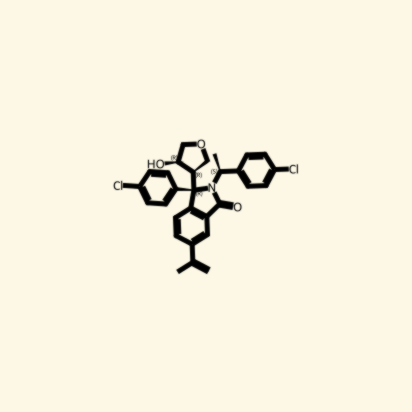 C=C(C)c1ccc2c(c1)C(=O)N([C@@H](C)c1ccc(Cl)cc1)[C@@]2(c1ccc(Cl)cc1)[C@@H]1COC[C@@H]1O